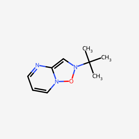 CC(C)(C)N1C=C2N=CC=CN2O1